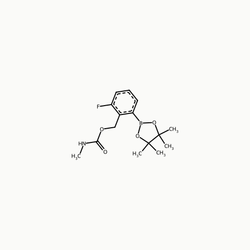 CNC(=O)OCc1c(F)cccc1B1OC(C)(C)C(C)(C)O1